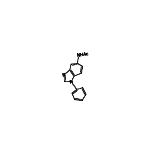 CC(=O)Nc1ccc2c(c1)ncn2-c1ccccc1